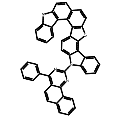 c1ccc(-c2nc(-n3c4ccccc4c4c5sc6ccc7ccc8sc9ccccc9c8c7c6c5ccc43)nc3c2ccc2ccccc23)cc1